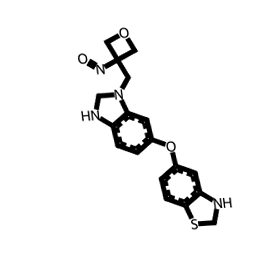 O=NC1(CN2CNc3ccc(Oc4ccc5c(c4)NCS5)cc32)COC1